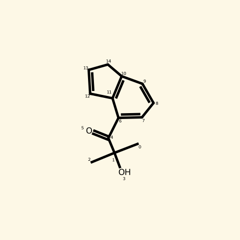 CC(C)(O)C(=O)c1cccc2c1C=CC2